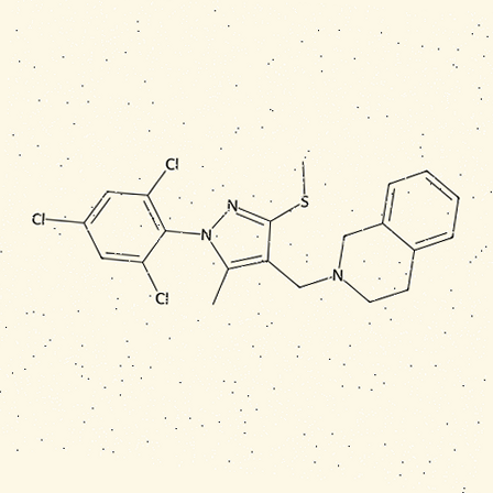 CSc1nn(-c2c(Cl)cc(Cl)cc2Cl)c(C)c1CN1CCc2ccccc2C1